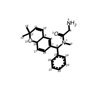 CN(C(=O)CN)C(C1=CC2C=CC(C)(C)OC2C=C1)c1ccccc1